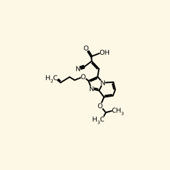 C=CCCOc1nc2c(OC(C)C)cccn2c1/C=C(\C#N)C(=O)O